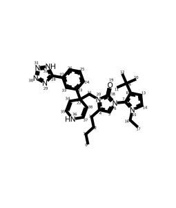 CCCCc1cn(-c2c(C(C)(C)C)ccn2CC)c(=O)n1CC1(c2cccc(-c3nnn[nH]3)c2)C=CNC=C1